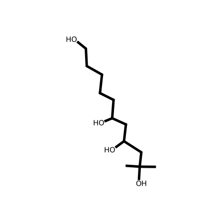 CC(C)(O)CC(O)CC(O)CCCCCO